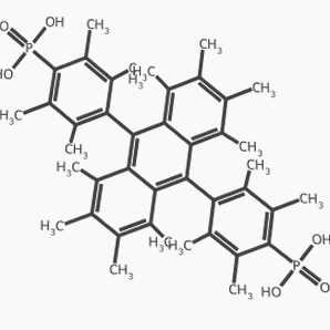 Cc1c(C)c(P(=O)(O)O)c(C)c(C)c1-c1c2c(C)c(C)c(C)c(C)c2c(-c2c(C)c(C)c(P(=O)(O)O)c(C)c2C)c2c(C)c(C)c(C)c(C)c12